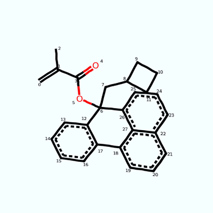 C=C(C)C(=O)OC1(CC2CCC2)c2ccccc2-c2cccc3cccc1c23